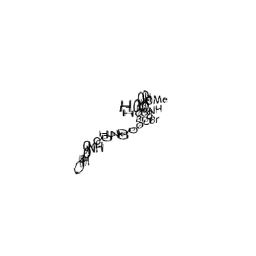 COC(=O)[C@H]1O[C@@H](Oc2c[nH]c3cc(Br)c(OCCOCCOCCOC(=O)NCCOCCOCCNC(=O)OC[C@@H]4C5CCC#CCC[C@@H]54)c(Br)c23)[C@H](O)[C@@H](O)[C@@H]1O